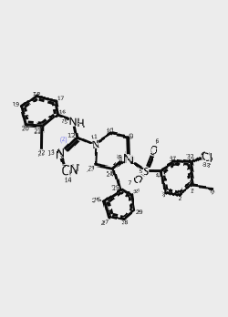 Cc1ccc(S(=O)(=O)N2CCN(/C(=N\C#N)Nc3ccccc3C)CC2c2ccccc2)cc1Cl